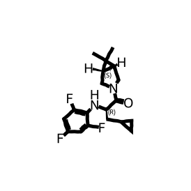 CC1(C)[C@@H]2CN(C(=O)[C@@H](CC3CC3)Nc3c(F)cc(F)cc3F)C[C@@H]21